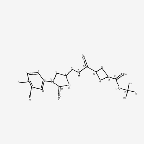 Cc1ccc(N2CC(CNC(=O)C3CN(C(=O)OC(C)(C)C)C3)OC2=O)cc1F